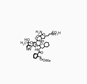 COOSc1ccccc1C(=O)N[C@H](CC1CCCCC1)C(=O)N1C[C@@H](n2nncc2C(C)(C)O)C[C@H]1C(=O)NC(CCCCNC(=O)O)C(=O)C(N)=O